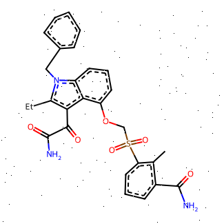 CCc1c(C(=O)C(N)=O)c2c(OCS(=O)(=O)c3cccc(C(N)=O)c3C)cccc2n1Cc1ccccc1